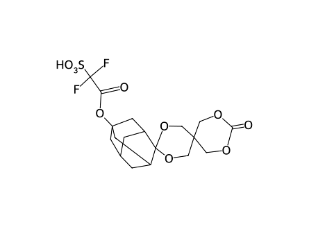 O=C1OCC2(CO1)COC1(OC2)C2CC3CC1CC(OC(=O)C(F)(F)S(=O)(=O)O)(C3)C2